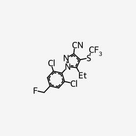 CCc1c(SC(F)(F)F)c(C#N)nn1-c1c(Cl)cc(CF)cc1Cl